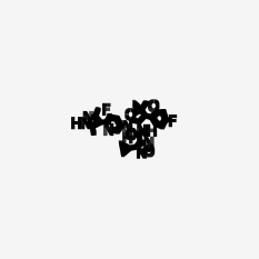 Cc1n[nH]c(C)c1-c1ncc(NC(=O)[C@@H](NC(=O)c2nonc2C2CC2)C2c3ccc(F)cc3OCC23CC3)cc1F